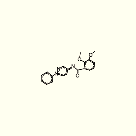 COc1cccc(C(=O)/N=c2\ccn(-c3ccccc3)nc2)c1OC